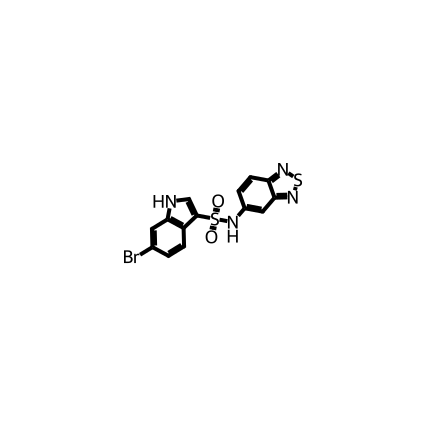 O=S(=O)(Nc1ccc2nsnc2c1)c1c[nH]c2cc(Br)ccc12